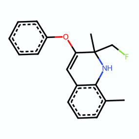 Cc1cccc2c1NC(C)(CF)C(Oc1ccccc1)=C2